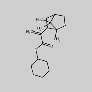 C=C(C(=O)OC1CCCCC1)C1CC2CCC1(C)C2(C)C